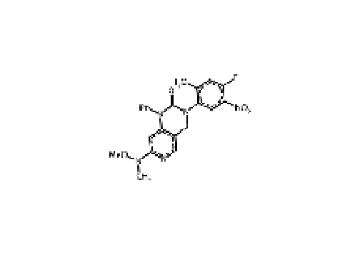 CON(C)c1cc2c(cn1)CN(c1cc([N+](=O)[O-])c(F)cc1C)C(=O)N2C(C)C